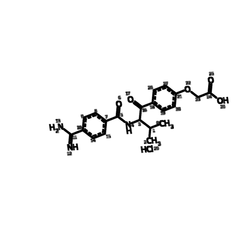 CC(C)C(NC(=O)c1ccc(C(=N)N)cc1)C(=O)c1ccc(OCC(=O)O)cc1.Cl